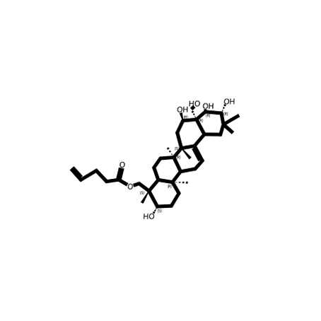 C=CCCC(=O)OC[C@]1(C)C2CC[C@]3(C)C(CC=C4C5CC(C)(C)[C@@H](O)[C@H](O)[C@]5(CO)[C@H](O)C[C@]43C)[C@@]2(C)CC[C@@H]1O